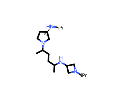 CC(C)N[C@H]1CCN(C(C)CCC(C)NC2CN(C(C)C)C2)C1